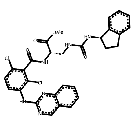 COC(=O)[C@H](CNC(=O)N[C@@H]1CCc2ccccc21)NC(=O)c1c(Cl)ccc(Nc2ncc3ccccc3n2)c1Cl